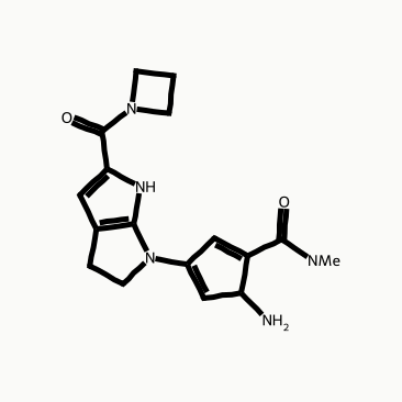 CNC(=O)C1=CC(N2CCc3cc(C(=O)N4CCC4)[nH]c32)=CC1N